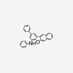 c1ccc(Nc2cc(-c3ccccc3)cc3c2oc2cc4ccccc4cc23)cc1